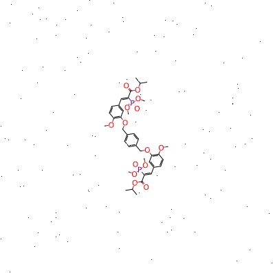 COc1ccc(C=C(C(=O)OC(C)C)P(=O)(OC)OC)cc1OCc1ccc(COc2cc(C=C(C(=O)OC(C)C)P(=O)(OC)OC)ccc2OC)cc1